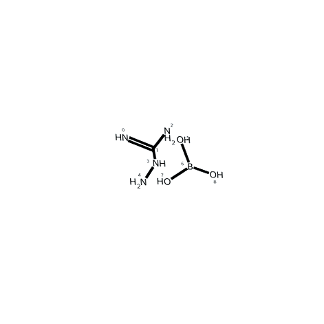 N=C(N)NN.OB(O)O